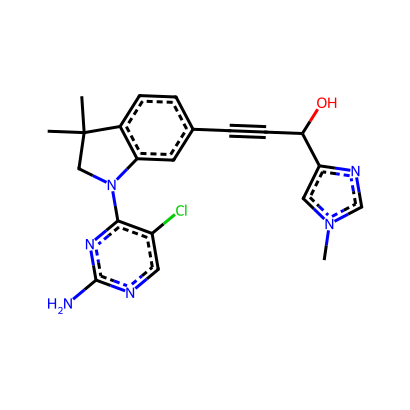 Cn1cnc(C(O)C#Cc2ccc3c(c2)N(c2nc(N)ncc2Cl)CC3(C)C)c1